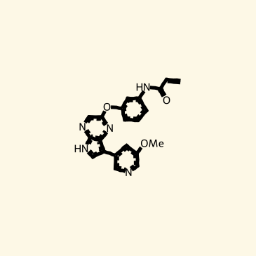 C=CC(=O)Nc1cccc(Oc2cnc3[nH]cc(-c4cncc(OC)c4)c3n2)c1